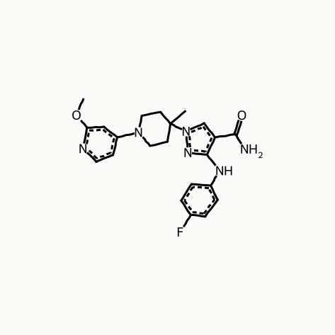 COc1cc(N2CCC(C)(n3cc(C(N)=O)c(Nc4ccc(F)cc4)n3)CC2)ccn1